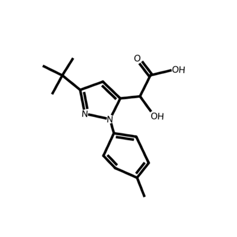 Cc1ccc(-n2nc(C(C)(C)C)cc2C(O)C(=O)O)cc1